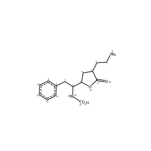 CC(C)(C)CCC1CC(C(Cc2ccccc2)NC(=O)O)OC1=O